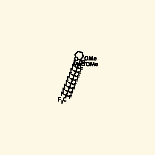 CO[Si](OC)(OC)C1(C(F)(F)C(F)(F)C(F)(F)C(F)(F)C(F)(F)C(F)(F)C(F)(F)C(F)(F)C(F)(F)C(F)(F)F)CCCCO1